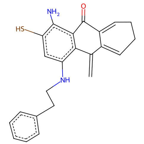 C=C1C2=CCCC=C2C(=O)c2c(N)c(S)cc(NCCc3ccccc3)c21